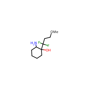 COCCC(F)(F)C1(O)CCCCC1N